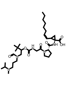 CCCCCC/C=C\C1C[C@]1(NC(=O)[C@@H]1CCCN1C(=O)CNC(=O)OC(CN(C=O)CCCN(C)C(C)C)C(C)(C)C)C(=O)O